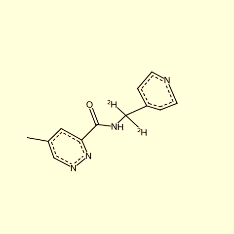 [2H]C([2H])(NC(=O)c1cc(C)cnn1)c1ccncc1